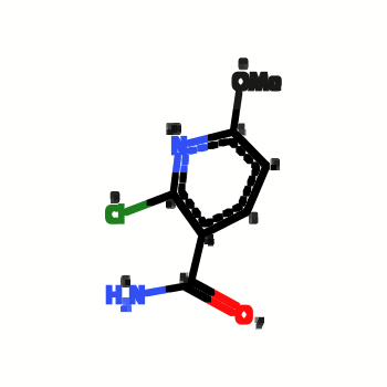 COc1ccc(C(N)=O)c(Cl)n1